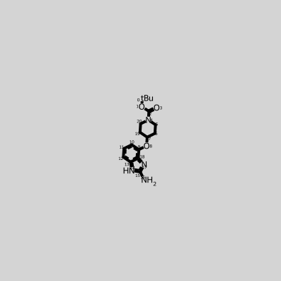 CC(C)(C)OC(=O)N1CCC(Oc2cccc3[nH]c(N)nc23)CC1